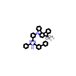 CC1(C)c2ccccc2-c2c1ccc1c2c2ccccc2n1-c1cccc(C2=NC(c3ccccc3)NC(c3cccc(-c4ccccc4)c3)=N2)c1